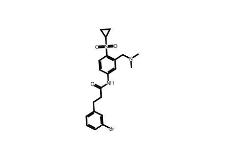 CN(C)Cc1cc(NC(=O)CCc2cccc(Br)c2)ccc1S(=O)(=O)C1CC1